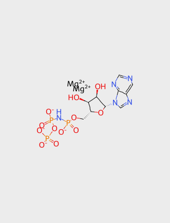 O=P([O-])([O-])OP(=O)([O-])NP(=O)([O-])OC[C@H]1O[C@@H](n2cnc3cncnc32)[C@H](O)[C@@H]1O.[Mg+2].[Mg+2]